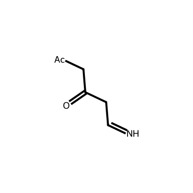 CC(=O)CC(=O)CC=N